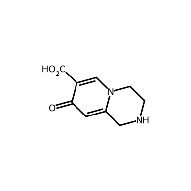 O=C(O)c1cn2c(cc1=O)CNCC2